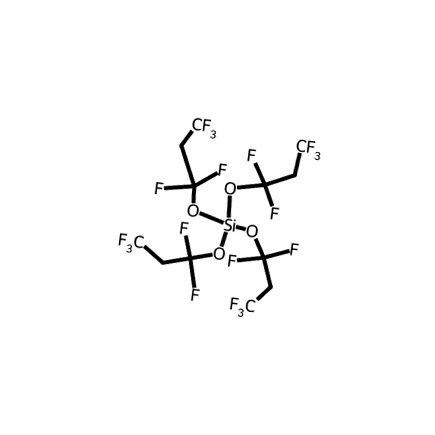 FC(F)(F)CC(F)(F)O[Si](OC(F)(F)CC(F)(F)F)(OC(F)(F)CC(F)(F)F)OC(F)(F)CC(F)(F)F